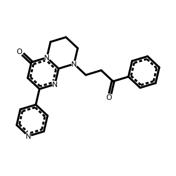 O=C(CCN1CCCn2c1nc(-c1ccncc1)cc2=O)c1ccccc1